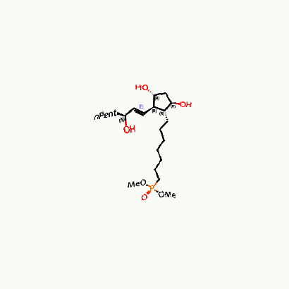 CCCCC[C@H](O)/C=C/[C@@H]1[C@@H](CCCCCCCP(=O)(OC)OC)[C@H](O)C[C@H]1O